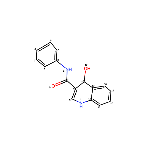 O=C(Nc1ccccc1)C1=CNc2ccccc2C1O